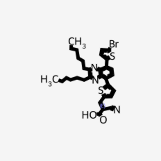 CCCCCCc1nc2c(-c3ccc(Br)s3)ccc(-c3ccc(/C=C(\C#N)C(=O)O)s3)c2nc1CCCCCC